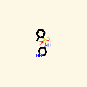 Cc1ccccc1S(=O)(=O)NC1CCNCC1